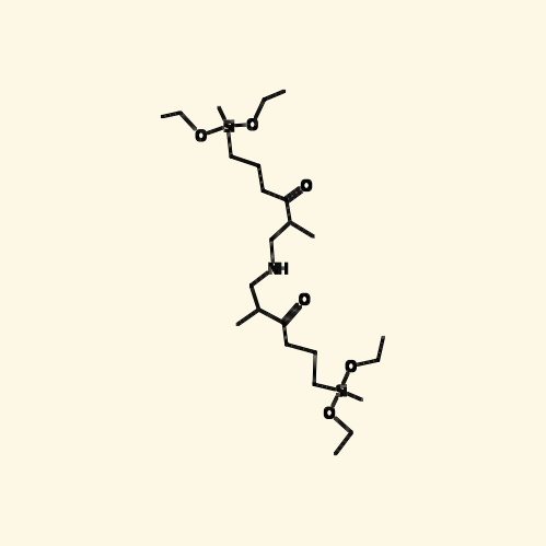 CCO[Si](C)(CCCC(=O)C(C)CNCC(C)C(=O)CCC[Si](C)(OCC)OCC)OCC